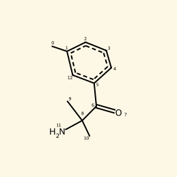 Cc1cccc(C(=O)C(C)(C)N)c1